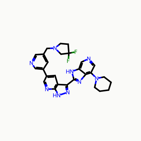 FC1(F)CCN(Cc2cncc(-c3cnc4[nH]nc(-c5nc6c(N7CCCCC7)cncc6[nH]5)c4c3)c2)C1